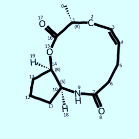 C[C@@H]1CC=CCCC(=O)N[C@H]2CCC[C@H]2OC1=O